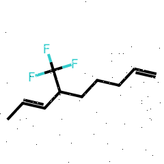 C=CCCC[C](/C=C/C)C(F)(F)F